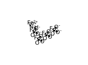 O=P([O-])([O-])F.O=P([O-])([O-])F.O=P([O-])([O-])F.O=P([O-])([O-])F.[Fe+2].[Na+].[V+5]